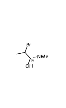 CN[C@H](O)C(C)Br